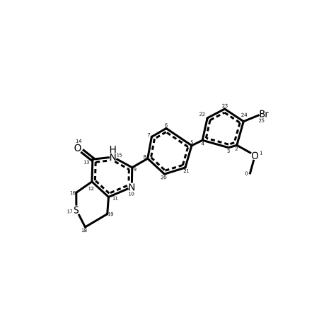 COc1cc(-c2ccc(-c3nc4c(c(=O)[nH]3)CSCC4)cc2)ccc1Br